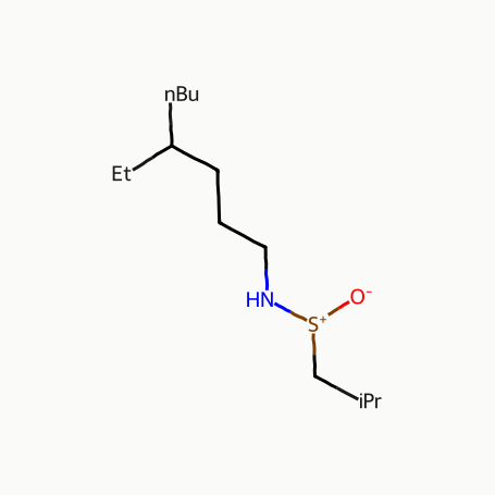 CCCCC(CC)CCCN[S+]([O-])CC(C)C